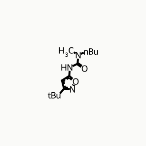 CCCCN(C)C(=O)Nc1cc(C(C)(C)C)no1